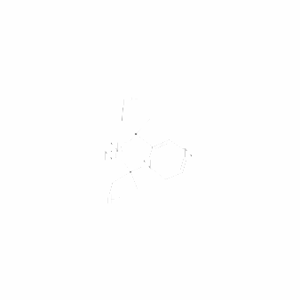 CC(C)CC(C)(C#N)C1=CN=CCN1C(C)(C#N)CC(C)C